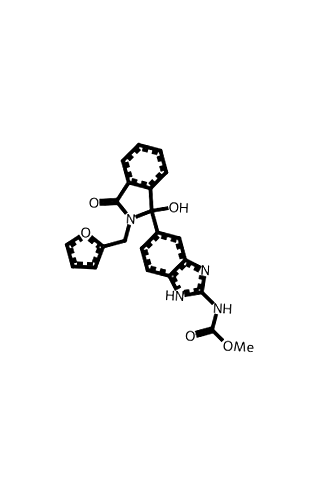 COC(=O)Nc1nc2cc(C3(O)c4ccccc4C(=O)N3Cc3ccco3)ccc2[nH]1